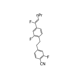 CCCC=C(F)c1ccc(CCc2ccc(C#N)c(F)c2)c(F)c1